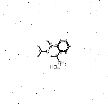 CC(C)[O][Sn]([CH3])[c]1ccccc1C(C)N.Cl